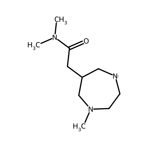 CN1CC[N]CC(CC(=O)N(C)C)C1